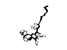 C/C=C/C=C/C=C/C(=O)/C=C(O)/C(C)=C1\C=C2C[C@@H](CO)OC=C2C(=O)[C@@]1(C)OC=O